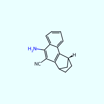 N#Cc1c2c(c3ccccc3c1N)[C@@H]1CCC2C1